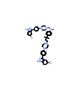 CN(CN1CCN(C2=CCC(c3n[nH]c4ccc(Cl)cc34)C=C2)CC1)c1ccc(C(C)(C)CCN2CCN(c3ccc(-c4n[nH]c5c4C=C(Cl)CC5)cc3)CC2)cc1